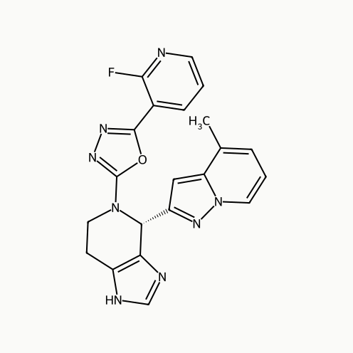 Cc1cccn2nc([C@@H]3c4nc[nH]c4CCN3c3nnc(-c4cccnc4F)o3)cc12